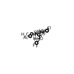 CC(=O)c1ccc2c(c1C)CC[C@@H]2NC(=O)c1cc(C(=O)NCc2ccc(F)c(F)c2)nc2c(C(=O)Nc3cccc(Cl)c3)cnn12